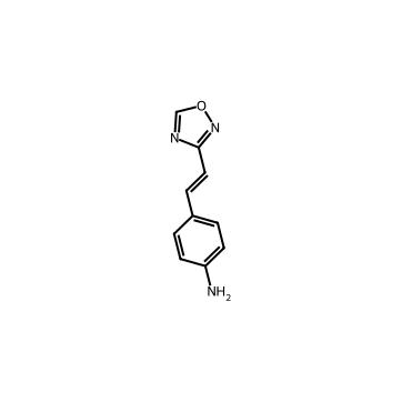 Nc1ccc(/C=C/c2ncon2)cc1